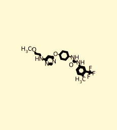 COCCNc1cc(O[C@H]2CC[C@H](NC(=O)Nc3ccc(C)c(C(F)(F)F)c3)CC2)ncn1